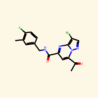 CC(=O)c1cc(C(=O)NCc2ccc(F)c(C)c2)nc2c(Br)cnn12